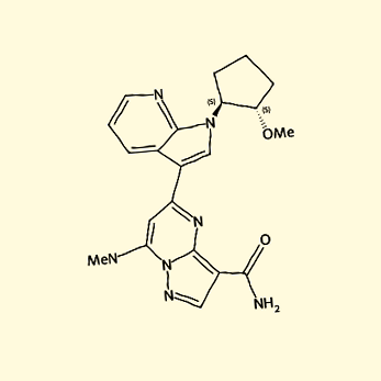 CNc1cc(-c2cn([C@H]3CCC[C@@H]3OC)c3ncccc23)nc2c(C(N)=O)cnn12